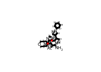 CC(=O)c1c(C2CC3COCC(C2)N3C(=O)c2nc[nH]n2)nc2c(-c3cnn(-c4ccccc4)c3)cnn2c1N